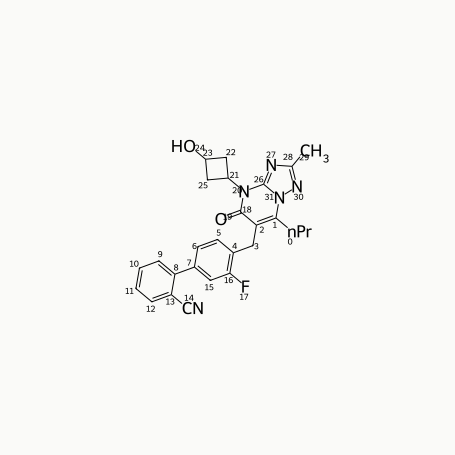 CCCc1c(Cc2ccc(-c3ccccc3C#N)cc2F)c(=O)n(C2CC(O)C2)c2nc(C)nn12